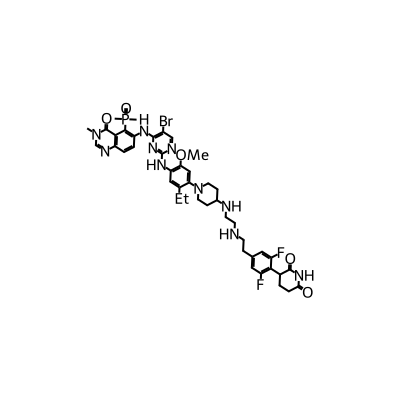 CCc1cc(Nc2ncc(Br)c(Nc3ccc4ncn(C)c(=O)c4c3P(C)(C)=O)n2)c(OC)cc1N1CCC(NCCNCCc2cc(F)c(C3CCC(=O)NC3=O)c(F)c2)CC1